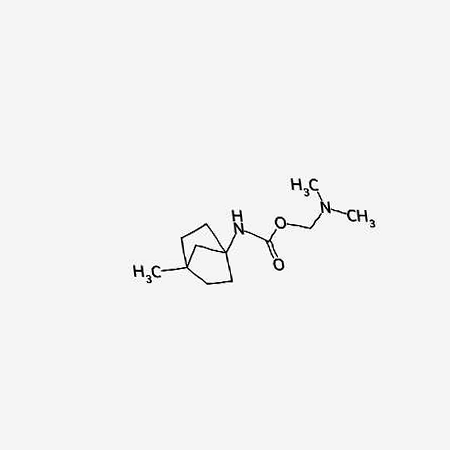 CN(C)COC(=O)NC12CCC(C)(CC1)C2